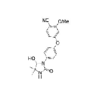 COc1cc(Oc2ccc(N3C(=O)NC(C)(C)C3O)cc2)ccc1C#N